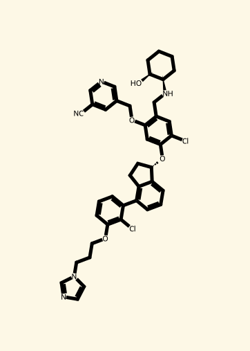 N#Cc1cncc(COc2cc(O[C@H]3CCc4c(-c5cccc(OCCCn6ccnc6)c5Cl)cccc43)c(Cl)cc2CN[C@@H]2CCCC[C@@H]2O)c1